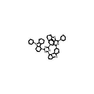 c1ccc(-c2nc(-c3cccc4sc5ccc(-c6nc(-c7ccccc7)c7sc8ccccc8c7n6)cc5c34)nc(-c3cccc4c3c3ccccc3n4-c3ccccc3)n2)cc1